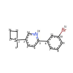 C[Si]1(c2ccc(-c3cccc(Br)c3)nc2)CCC1